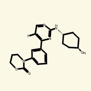 O=C1OCCCN1c1cccc(-c2nc(N[C@H]3CC[C@H](O)CC3)ncc2F)c1